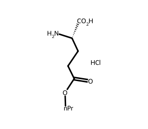 CCCOC(=O)CC[C@H](N)C(=O)O.Cl